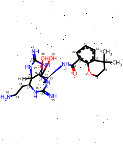 CC1(C)CCOc2c(C(=O)N[C@H]3CN4C(=N)N[C@@H](CCN)[C@@H]5NC(=N)N[C@@]54C3(O)O)cccc21